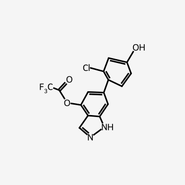 O=C(Oc1cc(-c2ccc(O)cc2Cl)cc2[nH]ncc12)C(F)(F)F